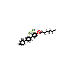 CCCCCCCCOc1ccc(-c2ccc(C3CCC(C)CC3)cc2)c(F)c1F